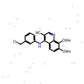 COc1ccc2c(Nc3cccc(CCl)c3)c(C#N)cnc2c1OC